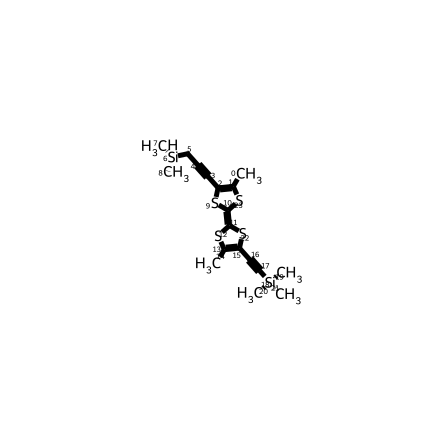 CC1=C(C#CC[SiH](C)C)S/C(=C2\SC(C)=C(C#C[Si](C)(C)C)S2)S1